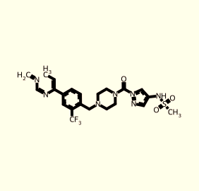 C=N/C=N\C(=C/C)c1ccc(CN2CCN(C(=O)n3cc(NS(C)(=O)=O)cn3)CC2)c(C(F)(F)F)c1